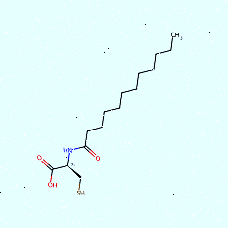 CCCCCCCCCCCC(=O)N[C@@H](CS)C(=O)O